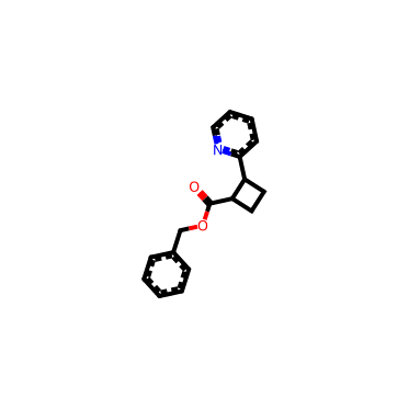 O=C(OCc1ccccc1)C1CCC1c1ccccn1